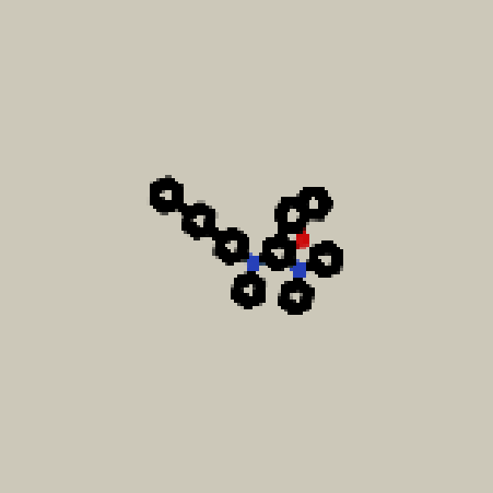 c1ccc(-c2ccc(-c3ccc(N(c4ccccc4)c4cc(N(c5ccccc5)c5ccccc5)c5oc6c7ccccc7ccc6c5c4)cc3)cc2)cc1